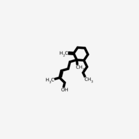 C=C1CCCC(CCC)C1(C)CC/C=C(/C)CO